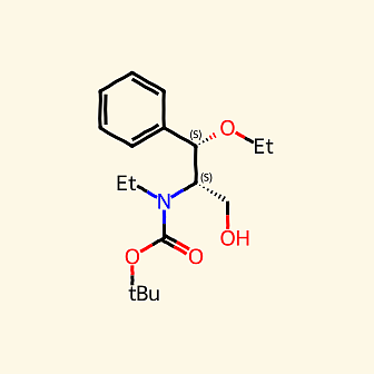 CCO[C@@H](c1ccccc1)[C@H](CO)N(CC)C(=O)OC(C)(C)C